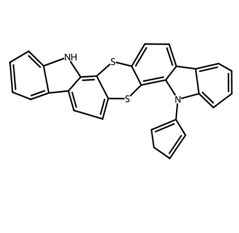 C1=CC(n2c3ccccc3c3ccc4c(c32)Sc2ccc3c([nH]c5ccccc53)c2S4)=CC1